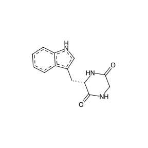 O=C1CNC(=O)[C@H](Cc2c[nH]c3ccccc23)N1